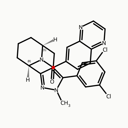 Cn1nc2c(c1-c1cc(Cl)cc(Cl)c1)C[C@@H]1CCC[C@H]2N1C(=O)c1ccc2nccnc2c1